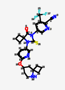 N#Cc1ncc(N2C(=O)C3(CCC3)N(c3ccc(OC4CCNC5(CCC5)C4)nc3)C2=S)cc1C(F)(F)F